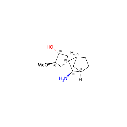 CO[C@@H]1C[C@]2(C[C@H]1O)[C@H]1CC[C@H](C1)[C@H]2N